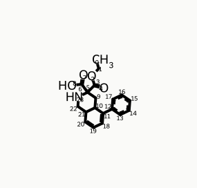 CCOC(=O)C1(C(=O)O)CC2C(c3ccccc3)=CC=CC2CN1